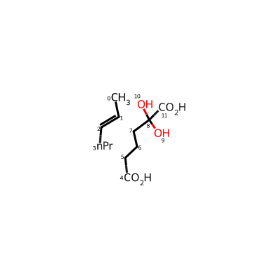 CC=CCCC.O=C(O)CCCC(O)(O)C(=O)O